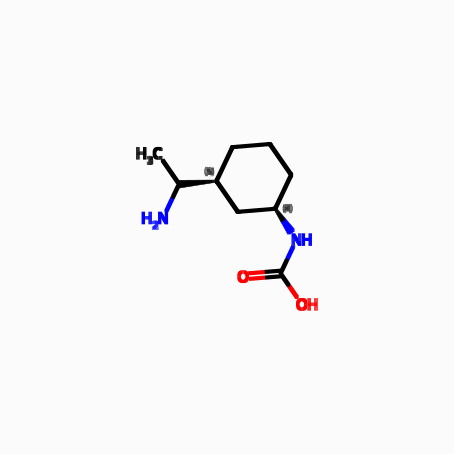 CC(N)[C@H]1CCC[C@@H](NC(=O)O)C1